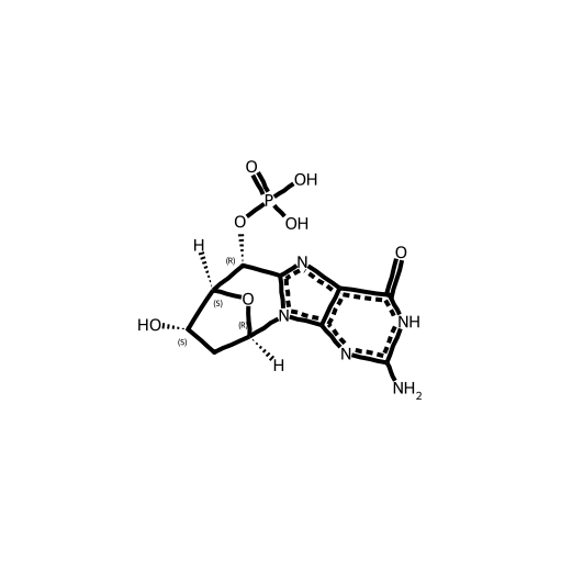 Nc1nc2c(nc3n2[C@H]2C[C@H](O)[C@H](O2)[C@@H]3OP(=O)(O)O)c(=O)[nH]1